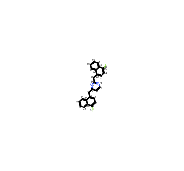 Fc1ccc(Cc2ccnc(Cc3ccc(F)c4ccccc34)n2)c2ccccc12